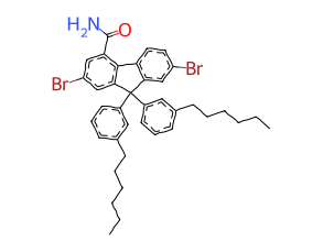 CCCCCCc1cccc(C2(c3cccc(CCCCCC)c3)c3cc(Br)ccc3-c3c(C(N)=O)cc(Br)cc32)c1